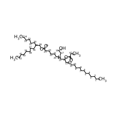 CCCCCCCCCCCCOCC(CN(CCO)CCCCCC(=O)OCC(CCCCCC)CCCCCCCC)OC(=O)CC